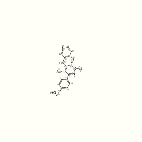 CCn1nc(-c2ccc(C(=O)O)cc2)c(C(C)=O)c(Nc2cccnc2)c1=O